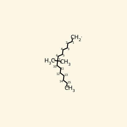 [CH2]CCCCCCC(C)(C)CCCCCCC